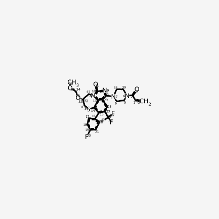 C=CC(=O)N1CCN(c2nc(=O)n3c4c(c(-c5ccc(F)cc5)c(C(F)(F)F)cc24)SC[C@@H](OCOC)C3)CC1